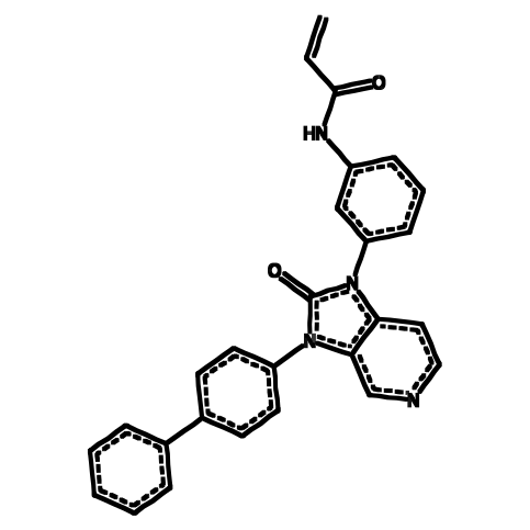 C=CC(=O)Nc1cccc(-n2c(=O)n(-c3ccc(-c4ccccc4)cc3)c3cnccc32)c1